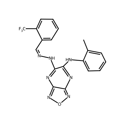 Cc1ccccc1Nc1nc2nonc2nc1N/N=C\c1ccccc1C(F)(F)F